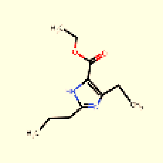 CCCc1nc(CC)c(C(=O)OCC)[nH]1